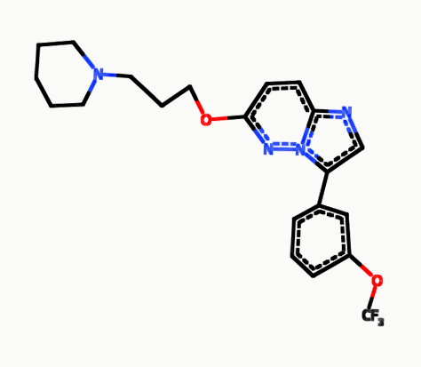 FC(F)(F)Oc1cccc(-c2cnc3ccc(OCCCN4CCCCC4)nn23)c1